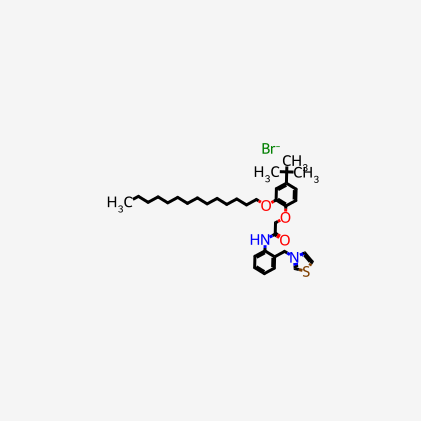 CCCCCCCCCCCCCCOc1cc(C(C)(C)C)ccc1OCC(=O)Nc1ccccc1C[n+]1ccsc1.[Br-]